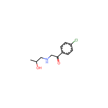 CC(O)CNCC(=O)c1ccc(Cl)cc1